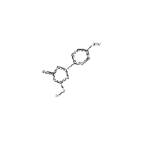 CCSc1cc(=O)cc(-c2ccc(OC)cc2)s1